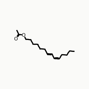 CCCC/C=C\C=C\CCCCCCOC(C)=O